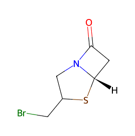 O=C1C[C@@H]2SC(CBr)CN12